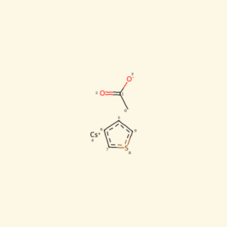 CC(=O)[O-].[Cs+].c1ccsc1